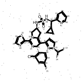 O=S(=O)(N[C@H]1CC2=C(c3ccn(C(F)F)n3)[C@H](c3ccc(F)cc3Cl)N=C(c3nccs3)N2C1)N[C@@H](c1ccccn1)C1CC1